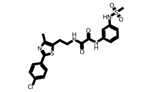 Cc1nc(-c2ccc(Cl)cc2)sc1CCNC(=O)C(=O)Nc1cccc(NS(C)(=O)=O)c1